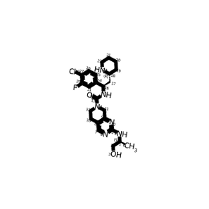 C[C@@H](CO)Nc1ncc2c(n1)CN(C(=O)N[C@H](C[C@H]1CCCCN1)c1ccc(Cl)c(F)c1)CC2